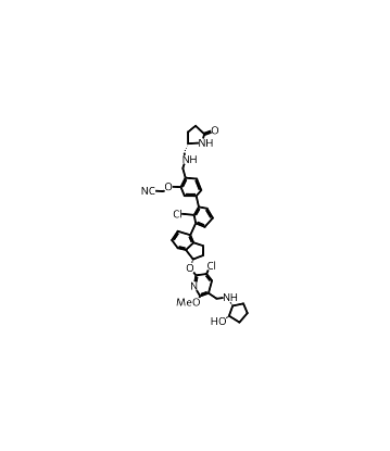 COc1nc(O[C@H]2CCc3c(-c4cccc(-c5ccc(CNC[C@@H]6CCC(=O)N6)c(OCC#N)c5)c4Cl)cccc32)c(Cl)cc1CN[C@@H]1CCC[C@@H]1O